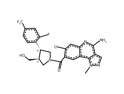 Cn1ncc2c(N)nc3cc(Cl)c(C(=O)N4C[C@@H](CO)[C@H](c5ccc(C(F)(F)F)cc5F)C4)cc3c21